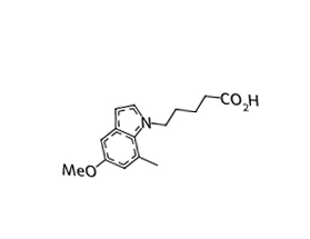 COc1cc(C)c2c(ccn2CCCCC(=O)O)c1